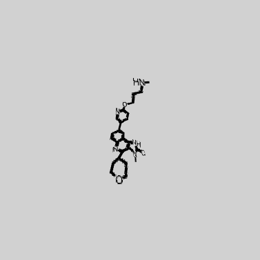 CNCCCOc1ccc(-c2ccc3nc(C4CCOCC4)c4c([nH]c(=O)n4C)c3c2)cn1